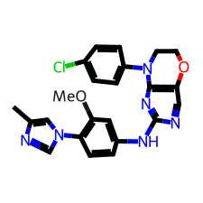 COc1cc(Nc2ncc3c(n2)N(c2ccc(Cl)cc2)CCO3)ccc1-n1cnc(C)c1